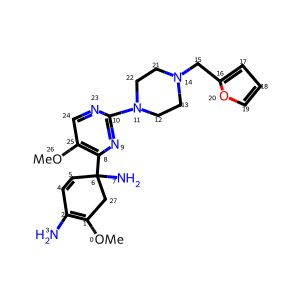 COC1=C(N)C=CC(N)(c2nc(N3CCN(Cc4ccco4)CC3)ncc2OC)C1